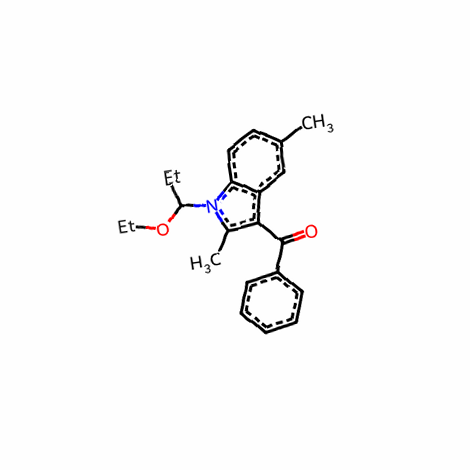 CCOC(CC)n1c(C)c(C(=O)c2ccccc2)c2cc(C)ccc21